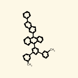 Cc1cccc(-c2cc(-c3cccc(C)c3)cc(-c3c4ccccc4c(-c4ccc5cc(-c6ccccc6)ccc5c4)c4ccccc34)c2)c1